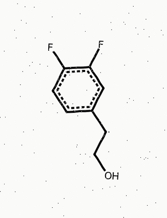 OC[CH]c1ccc(F)c(F)c1